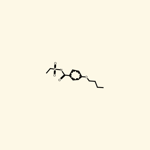 CCCCOc1ccc(C(=O)[N]S(=O)(=O)CC)cc1